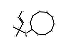 CC=CC(C)(C)BC1CCCCCCCCC1